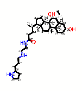 CC[C@H]1[C@@H](O)[C@@H]2[C@H](CC[C@]3(C)[C@@H]([C@H](C)CCC(=O)NCCNCCCC4CCCN4)CC[C@@H]23)[C@@]2(C)CC[C@@H](O)C[C@@H]12